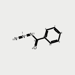 [N-]=[N+]=NC(=O)c1c[c]ccc1